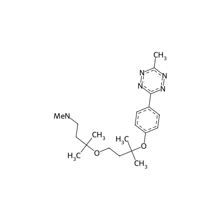 CNCCC(C)(C)OCCC(C)(C)Oc1ccc(-c2nnc(C)nn2)cc1